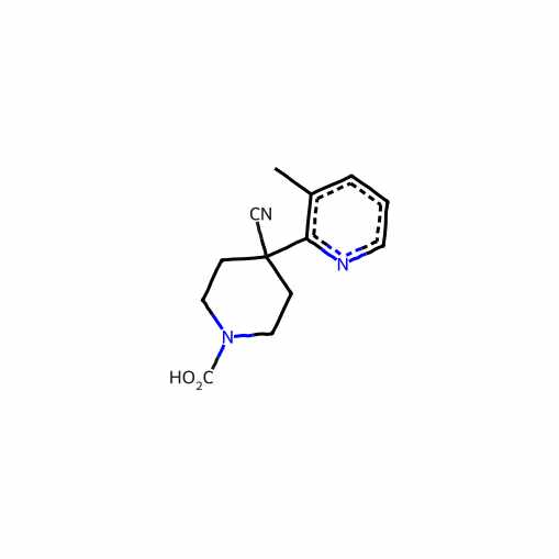 Cc1cccnc1C1(C#N)CCN(C(=O)O)CC1